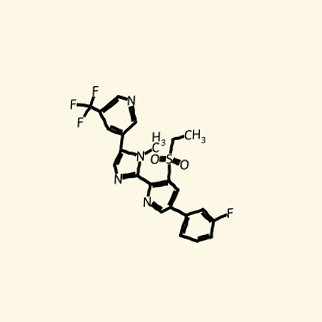 CCS(=O)(=O)c1cc(-c2cccc(F)c2)cnc1-c1ncc(-c2cncc(C(F)(F)F)c2)n1C